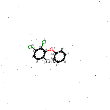 O=Cc1ccc(Cl)c(Cl)c1Oc1ccccc1